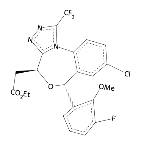 CCOC(=O)C[C@@H]1O[C@@H](c2cccc(F)c2OC)c2cc(Cl)ccc2-n2c1nnc2C(F)(F)F